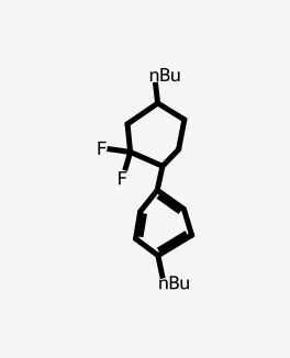 CCCCc1ccc(C2CCC(CCCC)CC2(F)F)cc1